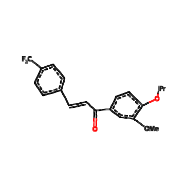 COc1cc(C(=O)C=Cc2ccc(C(F)(F)F)cc2)ccc1OC(C)C